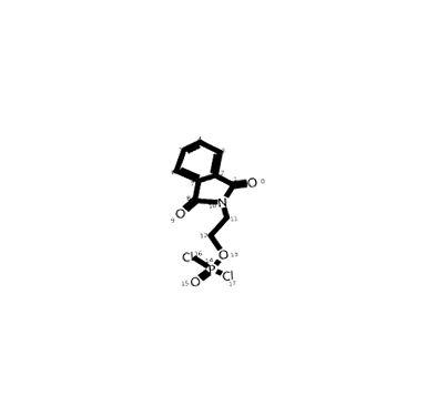 O=C1c2ccccc2C(=O)N1CCOP(=O)(Cl)Cl